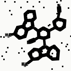 Cc1ccc2c(c1)c1ccccc1n2-c1cc(-c2cccc(C#N)c2)cc(-n2c3ccccc3c3cc(C)ccc32)c1C#N